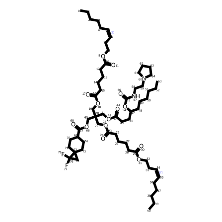 CCCCC/C=C\CCOC(=O)CCCCC(=O)OCC(COC(=O)CCCCC(=O)OCC/C=C\CCCCC)(COC(=O)CCC(CCCCCC)OC(=O)NCCN1CCCC1)COC(=O)C1CCC2(CC1)CC2(F)F